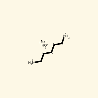 NCCCCCN.[Na+].[OH-]